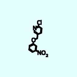 O=[N+]([O-])c1cccc(OCc2ccc(Cl)nc2)c1